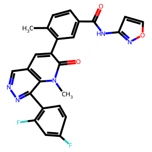 Cc1ccc(C(=O)Nc2ccon2)cc1-c1cc2cnnc(-c3ccc(F)cc3F)c2n(C)c1=O